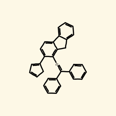 C1=CCC(c2ccc3c([c]2[Zr]=[C](c2ccccc2)c2ccccc2)Cc2ccccc2-3)=C1